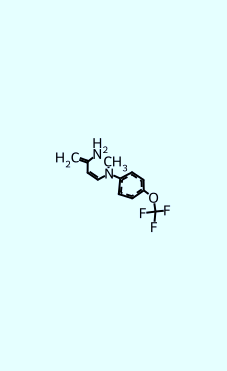 C=C(N)/C=C\N(C)c1ccc(OC(F)(F)F)cc1